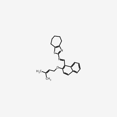 CC(C)=CCOc1ccc2ccccc2c1/C=N/c1nc2c(s1)CCCCC2